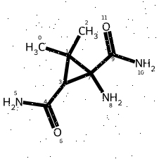 CC1(C)C(C(N)=O)C1(N)C(N)=O